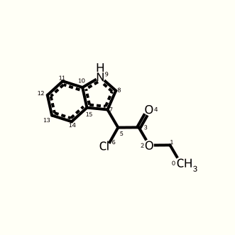 CCOC(=O)C(Cl)c1c[nH]c2ccccc12